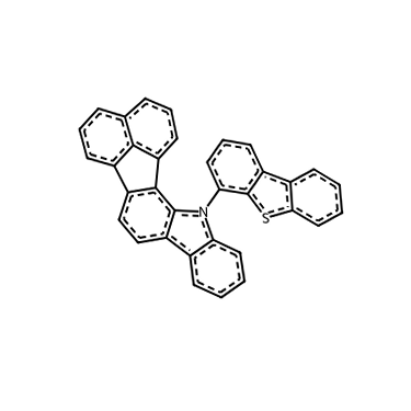 c1cc2c3c(cccc3c1)-c1c-2ccc2c3ccccc3n(-c3cccc4c3sc3ccccc34)c12